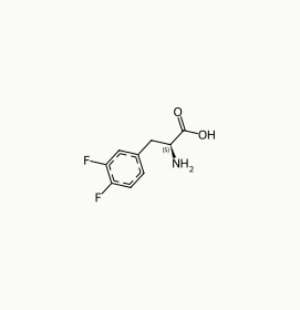 N[C@@H](Cc1ccc(F)c(F)c1)C(=O)O